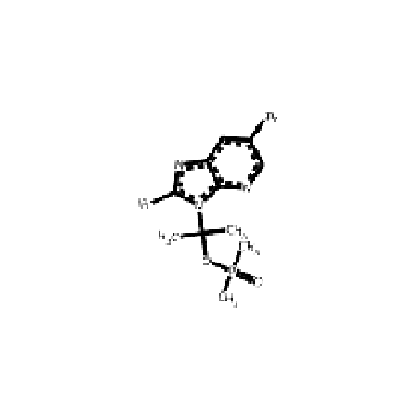 CC(C)c1cnc2c(c1)nc(C(C)C)n2C(C)(C)OP(C)(C)=O